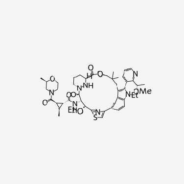 CCO[C@@H]1c2nc(cs2)-c2ccc3c(c2)c(c(-c2cccnc2[C@H](C)OC)n3CC)CC(C)(C)COC(=O)[C@@H]2CCCN(N2)C(=O)[C@H]1NC(=O)[C@@H]1[C@@H](C)[C@H]1C(=O)N1CCO[C@H](C)C1